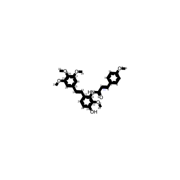 COc1ccc(/C=C/C(=O)Nc2c(C=Cc3cc(OC)c(OC)c(OC)c3)ccc(O)c2OC)cc1